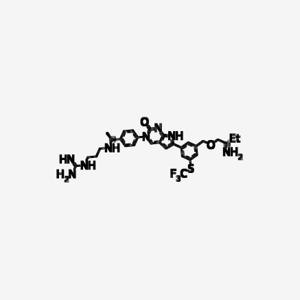 CC[C@H](N)COCc1cc(SC(F)(F)F)cc(-c2cc3cn(-c4ccc([C@H](C)NCCCNC(=N)N)cc4)c(=O)nc3[nH]2)c1